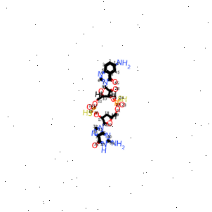 Nc1ccc2ncn([C@@H]3O[C@@H]4COP(=O)(S)OC5C[C@@H](COP(=O)(S)O[C@H]4C3=O)O[C@H]5n3cnc4c(=O)[nH]c(N)nc43)c(=O)c2c1